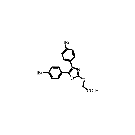 CC(C)(C)c1ccc(-c2nc(SCC(=O)O)oc2-c2ccc(C(C)(C)C)cc2)cc1